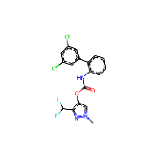 Cn1cc(OC(=O)Nc2ccccc2-c2cc(Cl)cc(Cl)c2)c(C(F)F)n1